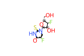 O=c1[nH]c(=S)n([C@@H]2O[C@H](CO)C(F)[C@@H]2O)cc1F